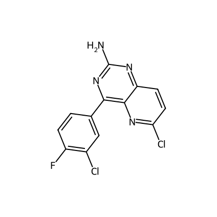 Nc1nc(-c2ccc(F)c(Cl)c2)c2nc(Cl)ccc2n1